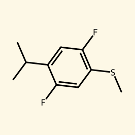 CSc1cc(F)c(C(C)C)cc1F